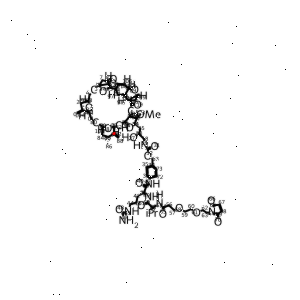 C=C1C[C@@H]2CC[C@@]34C[C@H]5OC6[C@@H](C[C@H]7CC[C@H](CC(=O)C[C@@H]8[C@@H](OC)[C@@H](C[C@H](O)CNC(=O)OCc9ccc(NC(=O)[C@H](CCCNC(N)=O)NC(=O)[C@@H](NC(=O)CCOCCOCCN%10C(=O)C=CC%10=O)C(C)C)cc9)O[C@H]8C[C@H]8O[C@@H](CC[C@@H]1O2)C[C@@H](C)C8=C)O[C@@H]7[C@@H]6O3)C5O4